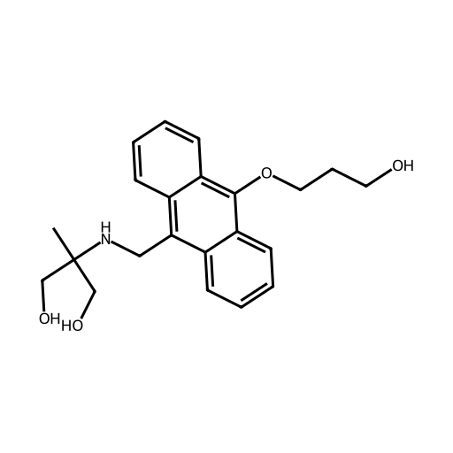 CC(CO)(CO)NCc1c2ccccc2c(OCCCO)c2ccccc12